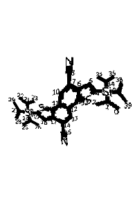 CC(C)[Si](c1cc2c(C#N)cc3c(cc(C#N)c4cc([Si](C(C)C)(C(C)C)C(C)C)sc43)c2s1)(C(C)C)C(C)C